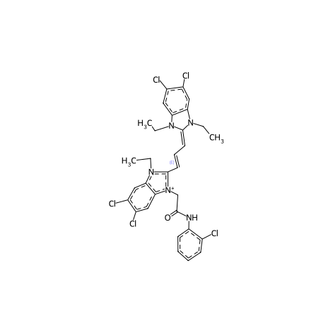 CCN1C(=C/C=C/c2n(CC)c3cc(Cl)c(Cl)cc3[n+]2CC(=O)Nc2ccccc2Cl)N(CC)c2cc(Cl)c(Cl)cc21